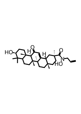 C=CCN(O)C(=O)[C@@]1(C)CC[C@]2(C)CC[C@]3(C)C(=CC(=O)[C@@H]4[C@@]5(C)CC[C@H](O)C(C)(C)C5CC[C@]43C)[C@@H]2C1